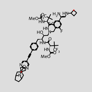 COC(=O)N[C@H](C(=O)N[C@@H](Cc1ccc(C#Cc2cnc(N3CC4CCC(C3)N4C3COC3)nc2)cc1)[C@@H](O)CN(Cc1c(F)cc(/C(N)=C/NC23CC(C2)C3)cc1F)NC(=O)[C@@H](NC(=O)OC)C(C)(C)C(F)(F)F)C(C)(C)C(F)(F)F